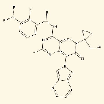 Cc1nc(N[C@H](C)c2cccc(C(F)F)c2F)c2cn(C3(CF)CC3)c(=O)c(-n3cc4ncccc4n3)c2n1